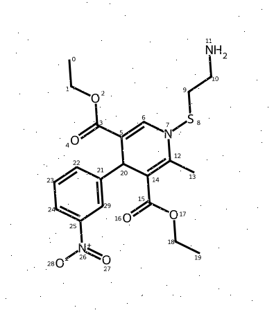 CCOC(=O)C1=CN(SCCN)C(C)=C(C(=O)OCC)C1c1cccc([N+](=O)[O-])c1